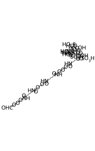 CC1C(OC2C(C(=O)O)OC(OC3C(COS(=O)(=O)O)OC(OC4C(C(=O)O)OC(OCCCCCCNC(=O)CCOCCOCCOCCNC(=O)CCCCCCCNC(=O)CCOCCCOCCC(=O)NCCCCCCCC(=O)NCCOCCOCCOCCC=O)C(OS(=O)(=O)O)C4O)C(C)C3O)C(OS(=O)(=O)O)C2O)OC(COS(=O)(=O)O)C(O)C1O